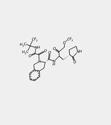 CC(C)(NC(=O)C(=O)N1Cc2ccccc2C[C@H]1C(=O)NC(C[C@@H]1CCNC1=O)C(=O)COC(F)(F)F)C(F)(F)F